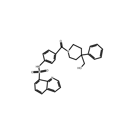 O=C(c1ccc(NS(=O)(=O)c2cccc3cccnc23)cc1)N1CCC(CO)(c2ccccc2)CC1